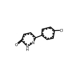 O=c1ccc(-c2ccc(Cl)cc2)n[nH]1